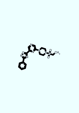 CCS(=O)(=O)N1CCN(c2cncc(-c3nc(-c4ccccc4)no3)n2)CC1